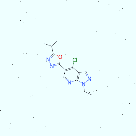 CCn1ncc2c(Cl)c(-c3nnc(C(C)C)o3)cnc21